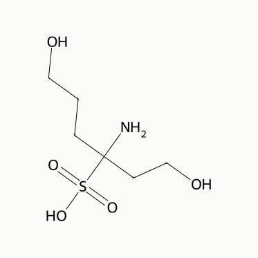 NC(CCO)(CCCO)S(=O)(=O)O